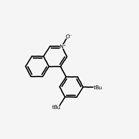 CC(C)(C)c1cc(-c2c[n+]([O-])cc3ccccc23)cc(C(C)(C)C)c1